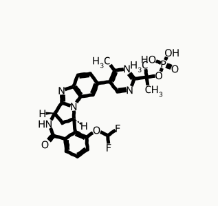 Cc1nc(C(C)(C)OP(=O)(O)O)ncc1-c1ccc2nc3n(c2c1)[C@@H]1C[C@@H]3NC(=O)c2cccc(OC(F)F)c21